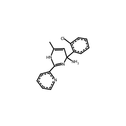 CC1=CC(N)(c2ccccc2Cl)N=C(c2ccccn2)N1